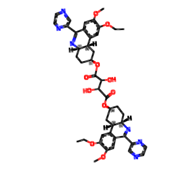 CCOc1cc2c(cc1OC)C(c1cnccn1)=N[C@H]1CC[C@H](OC(=O)C(O)C(O)C(=O)O[C@H]3CC[C@@H]4N=C(c5cnccn5)c5cc(OC)c(OCC)cc5[C@@H]4C3)C[C@@H]21